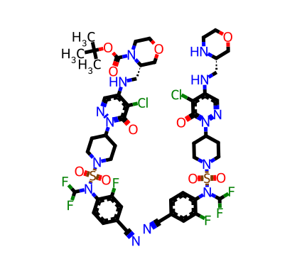 CC(C)(C)OC(=O)N1CCOC[C@@H]1CNc1cnn(C2CCN(S(=O)(=O)N(c3ccc(C#N)cc3F)C(F)F)CC2)c(=O)c1Cl.N#Cc1ccc(N(C(F)F)S(=O)(=O)N2CCC(n3ncc(NC[C@H]4COCCN4)c(Cl)c3=O)CC2)c(F)c1